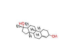 CC[C@]1(O)CC[C@H]2[C@@H]3CCC4=CC(O)CC[C@@H]4[C@H]3CC[C@@]21CC